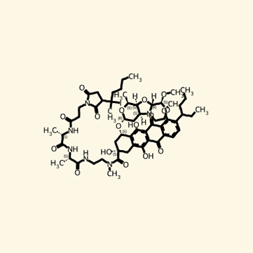 CCCCC(C)(I)C1CC(=O)N(CCC(=O)N[C@@H](C)C(=O)N[C@@H](C)C(=O)NCCN(C)C(=O)[C@]2(O)Cc3c(O)c4c(c(O)c3[C@@H](O[C@H]3C[C@H]5[C@H](O[C@@H]6[C@@H](OC)OCCN65)[C@H](C)O3)C2)C(=O)c2c(ccc(C(CC)CCC)c2OC)C4=O)C1=O